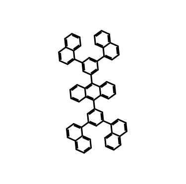 c1ccc2c(-c3cc(-c4cccc5ccccc45)cc(-c4c5ccccc5c(-c5cc(-c6cccc7ccccc67)cc(-c6cccc7ccccc67)c5)c5ccccc45)c3)cccc2c1